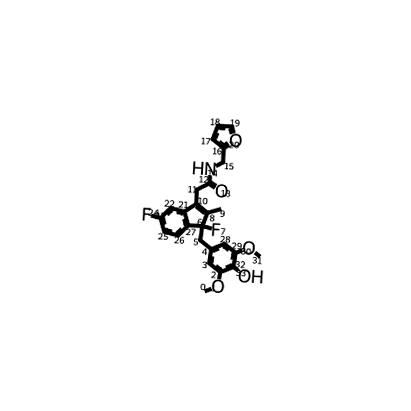 COc1cc(CC2(F)C(C)=C(CC(=O)NCc3ccco3)c3cc(F)ccc32)cc(OC)c1O